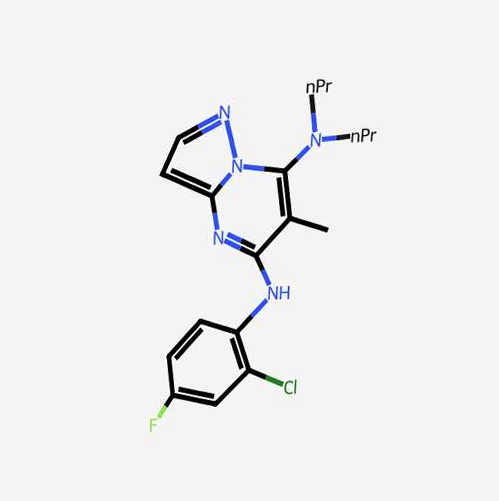 CCCN(CCC)c1c(C)c(Nc2ccc(F)cc2Cl)nc2ccnn12